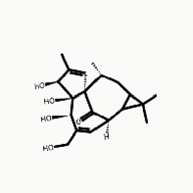 CC1=C[C@]23C(=O)[C@H](C=C(CO)[C@@H](O)[C@]2(O)[C@H]1O)C1C(C[C@H]3C)C1(C)C